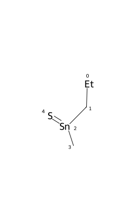 CC[CH2][Sn]([CH3])=[S]